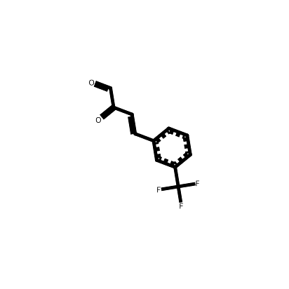 O=CC(=O)/C=C/c1cccc(C(F)(F)F)c1